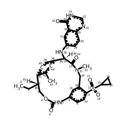 CC[C@H]1COC(=O)Nc2ccc(S(=O)(=O)C3CC3)c(c2)CN(C)C(=O)[C@H](Nc2ccc3nc[nH]c(=O)c3c2)c2ccc1c(C)c2